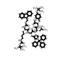 CC(C)C[C@H](NC(=O)[C@H](Cc1cn(C(c2ccccc2)(c2ccccc2)c2ccccc2)cn1)NC(=O)[C@H](CCCCNC(=O)OC(C)(C)C)NC(=O)OCC1c2ccccc2-c2ccccc21)C(=O)N[C@@H](Cc1ccc(OC(C)(C)C)cc1)C(=O)O